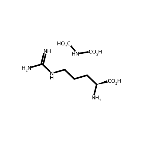 N=C(N)NCCC[C@H](N)C(=O)O.O=C(O)NC(=O)O